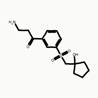 NCCC(=O)c1cccc(S(=O)(=O)CC2(O)CCCC2)c1